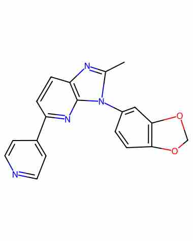 Cc1nc2ccc(-c3ccncc3)nc2n1-c1ccc2c(c1)OCO2